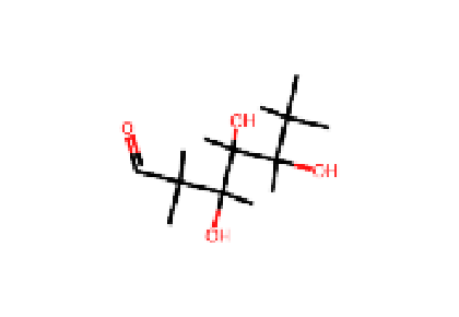 CC(C)(C)C(C)(O)C(C)(O)C(C)(O)C(C)(C)C=O